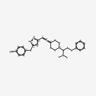 CN(C)C(CCc1ccccc1)C1CCC(=C=Cc2nc(Cc3ccc(Cl)cc3)no2)CC1